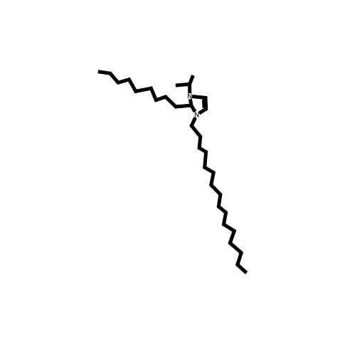 CCCCCCCCCCCCCCCCN1C=CN(C(C)C)C1CCCCCCCCC